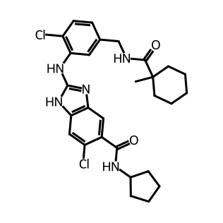 CC1(C(=O)NCc2ccc(Cl)c(Nc3nc4cc(C(=O)NC5CCCC5)c(Cl)cc4[nH]3)c2)CCCCC1